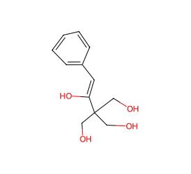 OCC(CO)(CO)C(O)=Cc1ccccc1